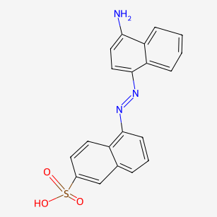 Nc1ccc(N=Nc2cccc3cc(S(=O)(=O)O)ccc23)c2ccccc12